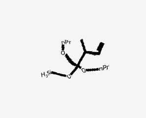 C=CC(C)C(O[SiH3])(OCCC)OCCC